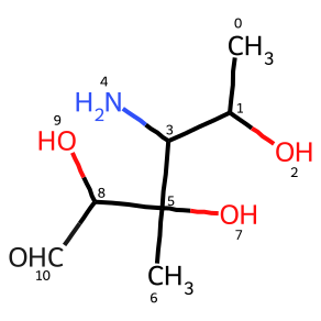 CC(O)C(N)C(C)(O)C(O)C=O